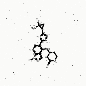 CCn1ncc2c(NC3CCOC(=O)C3)c(-c3nnc(C4CC4(C)C)o3)cnc21